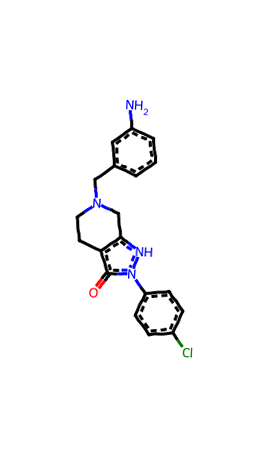 Nc1cccc(CN2CCc3c([nH]n(-c4ccc(Cl)cc4)c3=O)C2)c1